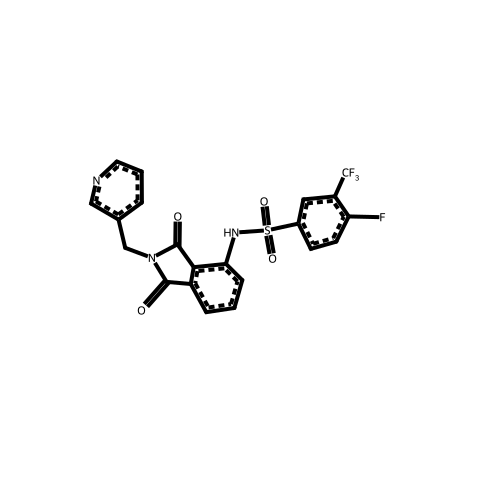 O=C1c2cccc(NS(=O)(=O)c3ccc(F)c(C(F)(F)F)c3)c2C(=O)N1Cc1cccnc1